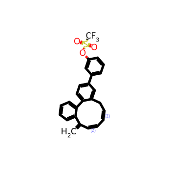 C=C1/C=C\C=C/Cc2cc(-c3cccc(OS(=O)(=O)C(F)(F)F)c3)ccc2-c2ccccc21